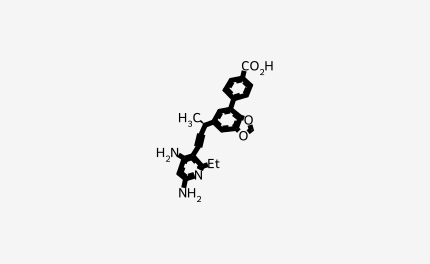 CCc1nc(N)cc(N)c1C#C[C@H](C)c1cc2c(c(-c3ccc(C(=O)O)cc3)c1)OCO2